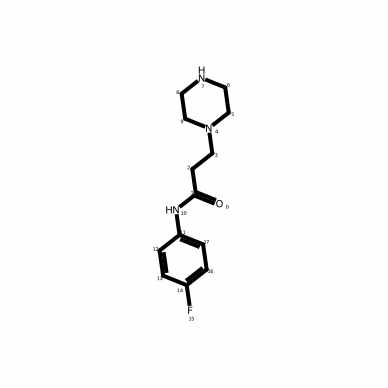 O=C(CCN1CCNCC1)Nc1ccc(F)cc1